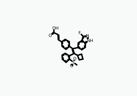 CS(=O)(=O)c1ccccc1C(=C(c1ccc(C=CC(=O)O)cc1)c1ccc2[nH]nc(F)c2c1)C1CCC1